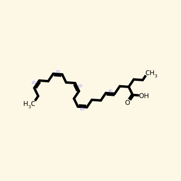 CC/C=C\C/C=C\C/C=C\C/C=C\CC/C=C/CC(CCC)C(=O)O